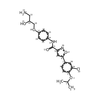 CC(C)Oc1ccc(-c2cc(C(=O)Nc3ccc(OCC(O)CN)cc3)no2)cc1Cl